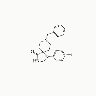 O=C1NCN(c2ccc(I)cc2)C12CCN(Cc1ccccc1)CC2